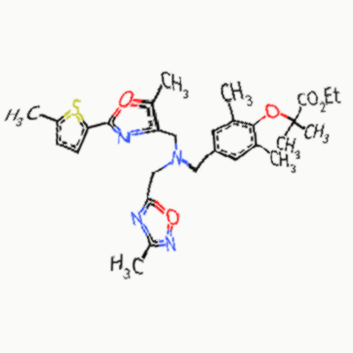 CCOC(=O)C(C)(C)Oc1c(C)cc(CN(Cc2nc(C)no2)Cc2nc(-c3ccc(C)s3)oc2C)cc1C